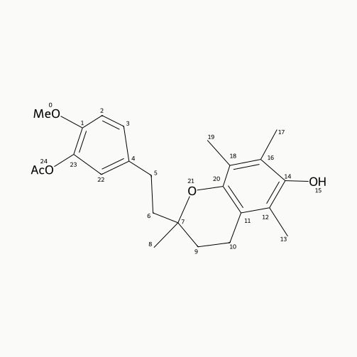 COc1ccc(CCC2(C)CCc3c(C)c(O)c(C)c(C)c3O2)cc1OC(C)=O